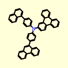 c1ccc2c(-c3ccc(N(c4ccc(-c5cc6ccccc6c6ccccc56)cc4)c4ccc5c6ccccc6c6ccccc6c5c4)cc3)cccc2c1